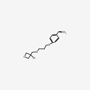 C=Cc1ccc(OCCCOCC2(CC)COC2)cc1